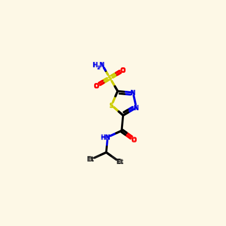 CCC(CC)NC(=O)c1nnc(S(N)(=O)=O)s1